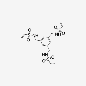 C=CS(=O)(=O)NCc1cc(CNS(=O)(=O)C=C)cc(CNS(=O)(=O)C=C)c1